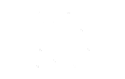 CCCCOC(=O)OCN1CCN=C1Nc1ccc2nccnc2c1Br